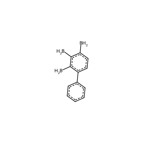 Bc1ccc(-c2ccccc2)c(B)c1B